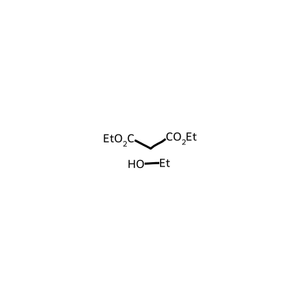 CCO.CCOC(=O)CC(=O)OCC